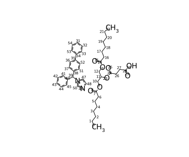 CCCCCCCC(=O)OCC(COC(=O)CCCCCCC)OC(=O)CCC(=O)O.c1ccc(-c2ccc(C(c3ccccc3)n3ccnc3)cc2)cc1